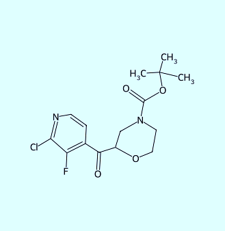 CC(C)(C)OC(=O)N1CCOC(C(=O)c2ccnc(Cl)c2F)C1